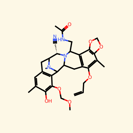 C=CCOc1c(C)c2c(c3c1CC1C4c5c(cc(C)c(O)c5OCOC)CC([C@H](C#N)N1C3CNC(C)=O)N4C)OCO2